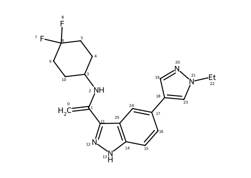 C=C(NC1CCC(F)(F)CC1)c1n[nH]c2ccc(-c3cnn(CC)c3)cc12